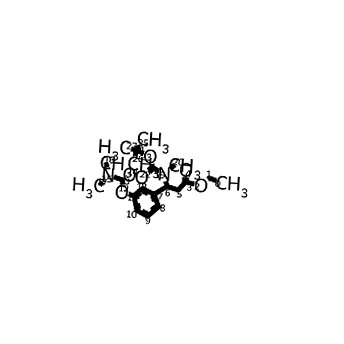 CCOC(=O)CC(c1cccc(OC(=O)N(C)C)c1)N(C)C(=O)OC(C)(C)C